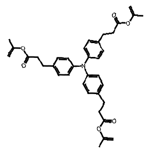 C=C(C)OC(=O)CCc1ccc(N(c2ccc(CCC(=O)OC(=C)C)cc2)c2ccc(CCC(=O)OC(=C)C)cc2)cc1